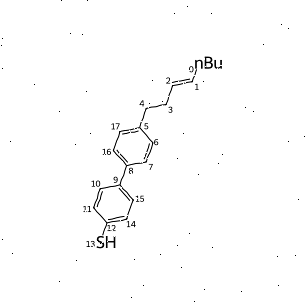 CCCCC=CCCc1ccc(-c2ccc(S)cc2)cc1